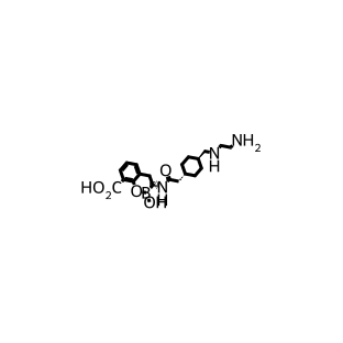 NCCNC[C@H]1CC[C@H](CC(=O)N[C@H]2Cc3cccc(C(=O)O)c3OB2O)CC1